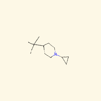 CC(C)(C)C1CCN(C2CC2)CC1